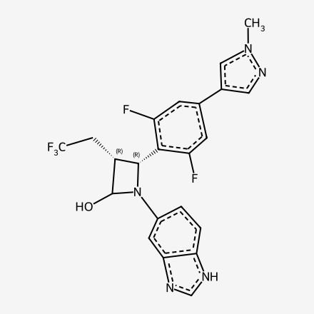 Cn1cc(-c2cc(F)c([C@H]3[C@@H](CC(F)(F)F)C(O)N3c3ccc4[nH]cnc4c3)c(F)c2)cn1